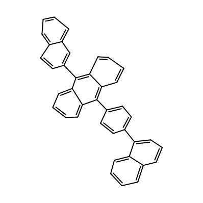 c1ccc2cc(-c3c4ccccc4c(-c4ccc(-c5cccc6ccccc56)cc4)c4ccccc34)ccc2c1